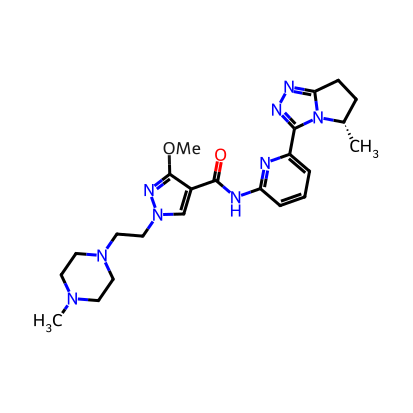 COc1nn(CCN2CCN(C)CC2)cc1C(=O)Nc1cccc(-c2nnc3n2[C@@H](C)CC3)n1